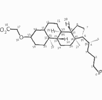 CC(C)CCC[C@@H](C)[C@H]1CC[C@H]2[C@@H]3CCC4CC(OCC(=O)O)CC[C@]4(C)[C@H]3CC[C@]12C